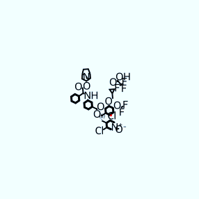 CN1C2CCC1CC(OC(=O)C(Nc1cccc(C(=O)O[C@@H](Cc3c(Cl)c[n+]([O-])cc3Cl)c3ccc(OC(F)F)c(OCC4CC4)c3)c1)c1ccccc1)C2.O=C(O)C(F)(F)F